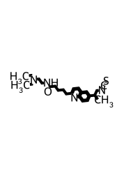 CCN(CC)CCNC(=O)CCCCc1ccc2cc(C(C)CN=C=S)ccc2n1